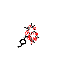 C=Cc1ccc(CC[Si]23O[Si]4(C)O[Si](C)(C)O[Si](C)(O[Si]5(C)O[Si](C)(OC)O[Si](C)(O4)O[Si](C)(O5)O2)O3)cc1